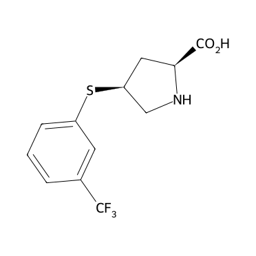 O=C(O)[C@@H]1C[C@H](Sc2cccc(C(F)(F)F)c2)CN1